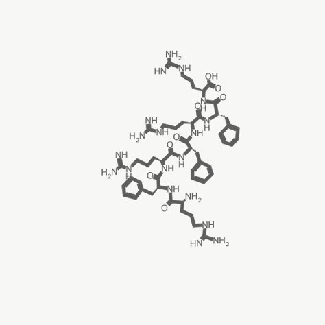 N=C(N)NCCC[C@H](NC(=O)[C@H](Cc1ccccc1)NC(=O)[C@H](CCCNC(=N)N)NC(=O)[C@H](Cc1ccccc1)NC(=O)[C@H](CCCNC(=N)N)NC(=O)[C@H](Cc1ccccc1)NC(=O)[C@@H](N)CCCNC(=N)N)C(=O)O